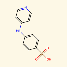 O=S(=O)(O)c1ccc(Nc2ccncc2)cc1